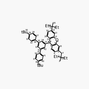 CCC(C)(CC)Cc1ccc2c(c1)Oc1cc(C(C)(CC)CC)ccc1N2c1cc(-c2ccc(C(C)(C)C)cc2)cc(-c2ccc(C(C)(C)C)cc2)c1